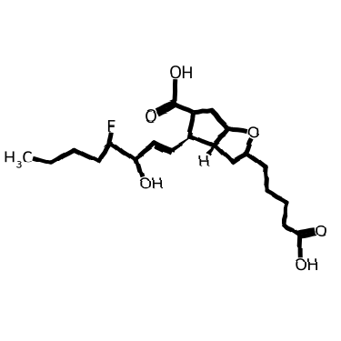 CCCCC(F)C(O)/C=C/[C@H]1C(C(=O)O)CC2OC(CCCCC(=O)O)C[C@@H]21